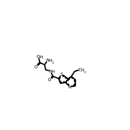 CCc1ccnc2cc(C(=O)NCC(N)C(=O)O)sc12